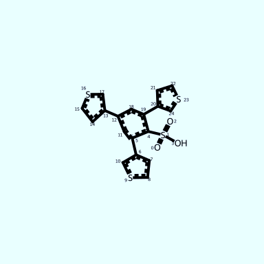 O=S(=O)(O)c1c(-c2ccsc2)cc(-c2ccsc2)cc1-c1ccsc1